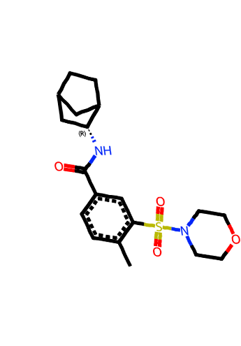 Cc1ccc(C(=O)N[C@@H]2CC3CCC2C3)cc1S(=O)(=O)N1CCOCC1